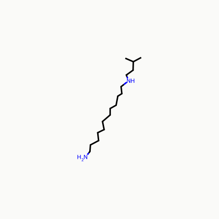 CC(C)CCNCCCCCCCCCCCCN